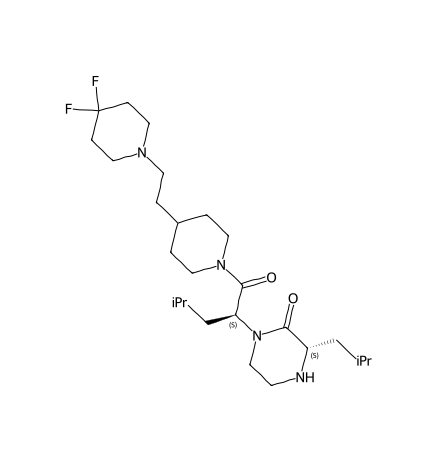 CC(C)C[C@@H]1NCCN([C@@H](CC(C)C)C(=O)N2CCC(CCN3CCC(F)(F)CC3)CC2)C1=O